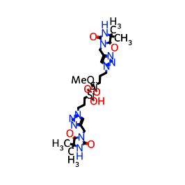 CO[Si]1(CCCn2cc(CN3C(=O)NC(C)(C)C3=O)nn2)O[Si](O)(CCCn2cc(CN3C(=O)NC(C)(C)C3=O)nn2)O1